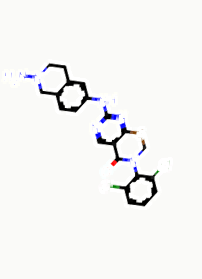 NN1CCc2cc(Nc3ncc4c(n3)SCN(c3c(Cl)cccc3Cl)C4=O)ccc2C1